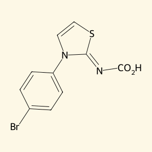 O=C(O)N=c1sccn1-c1ccc(Br)cc1